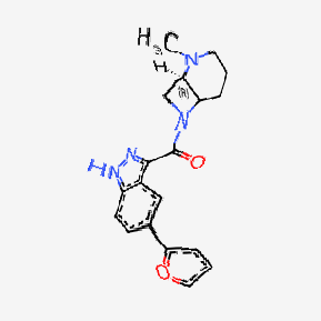 CN1CCCC2[C@H]1CN2C(=O)c1n[nH]c2ccc(-c3ccco3)cc12